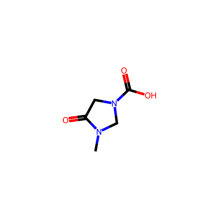 CN1CN(C(=O)O)CC1=O